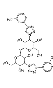 OCC1O[C@@H](S[C@@H]2OC(CO)[C@H](O)C(n3cc(-c4cccc(O)c4)nn3)C2O)C(O)C(n2cc(-c3cccc(O)c3)nn2)[C@H]1O